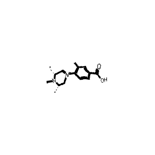 Cc1cc(C(=O)O)ccc1N1C[C@@H](C)N(C)[C@@H](C)C1